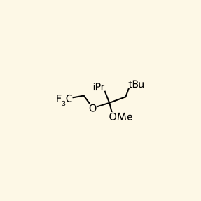 COC(CC(C)(C)C)(OCC(F)(F)F)C(C)C